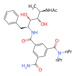 CCCN(CCC)C(=O)c1cc(C(N)=O)cc(C(=O)N[C@@H](Cc2ccccc2)[C@@H](O)[C@H](O)[C@@H](C)NC(C)=O)c1